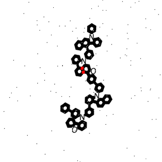 c1ccc(-c2ccc(N(c3cccc(-c4cccc5c4c4ccc6ccccc6c4n5-c4cccc(-c5ccc6c(c5)oc5cc(N(c7cccc(-c8c9ccccc9cc9c8c8ccccc8n9-c8ccccc8)c7)c7ccccc7-c7ccccc7)ccc56)c4)c3)c3cccc4oc5ccccc5c34)cc2)cc1